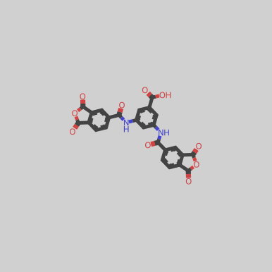 O=C(O)c1cc(NC(=O)c2ccc3c(c2)C(=O)OC3=O)cc(NC(=O)c2ccc3c(c2)C(=O)OC3=O)c1